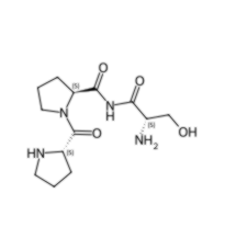 N[C@@H](CO)C(=O)NC(=O)[C@@H]1CCCN1C(=O)[C@@H]1CCCN1